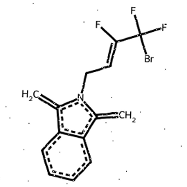 C=c1c2ccccc2c(=C)n1C/C=C(\F)C(F)(F)Br